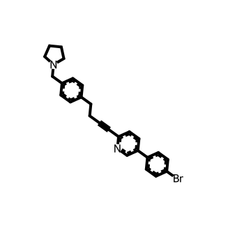 Brc1ccc(-c2ccc(C#CCCc3ccc(CN4CCCC4)cc3)nc2)cc1